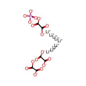 O=C([O-])C(=O)[O-].O=C([O-])C(=O)[O-].O=C([O-])C(=O)[O-].O=P([O-])([O-])[O-].[Li+].[Li+].[Li+].[Li+].[Li+].[Li+].[Li+].[Li+].[Li+]